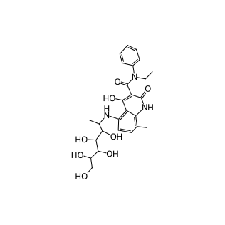 CCN(C(=O)c1c(O)c2c(NC(C)C(O)C(O)C(O)C(O)CO)ccc(C)c2[nH]c1=O)c1ccccc1